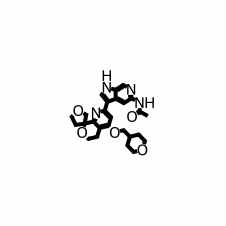 CC(=O)Nc1cc2c(-c3cc(OCC4CCOCC4)c4c(n3)C3(CCOC3)OCC4)c[nH]c2cn1